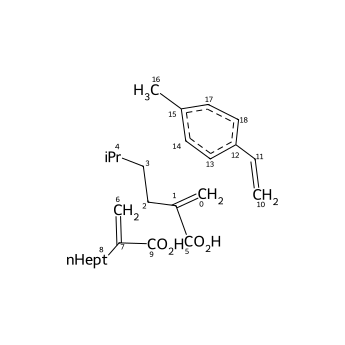 C=C(CCC(C)C)C(=O)O.C=C(CCCCCCC)C(=O)O.C=Cc1ccc(C)cc1